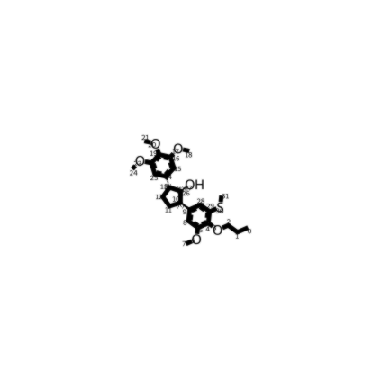 CCCOc1c(OC)cc([C@H]2CC[C@H](c3cc(OC)c(OC)c(OC)c3)[C@@H]2O)cc1SC